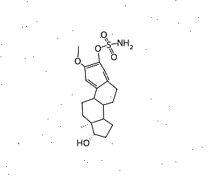 COc1cc2c(cc1OS(N)(=O)=O)CCC1C2CC[C@@]2(C)C1CC[C@@H]2O